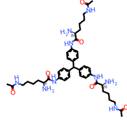 CC(=O)NCCCC[C@H](N)C(=O)Nc1ccc(C(c2ccc(NC(=O)[C@@H](N)CCCCNC(C)=O)cc2)c2ccc(NC(=O)[C@@H](N)CCCCNC(C)=O)cc2)cc1